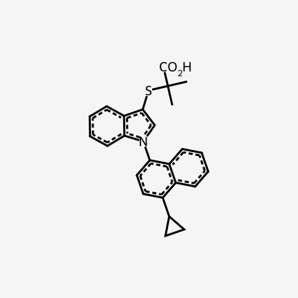 CC(C)(Sc1cn(-c2ccc(C3CC3)c3ccccc23)c2ccccc12)C(=O)O